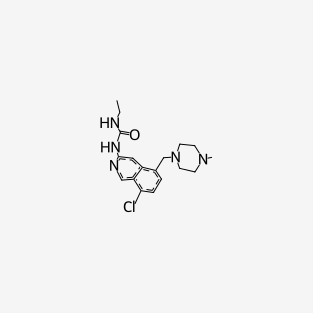 CCNC(=O)Nc1cc2c(CN3CCN(C)CC3)ccc(Cl)c2cn1